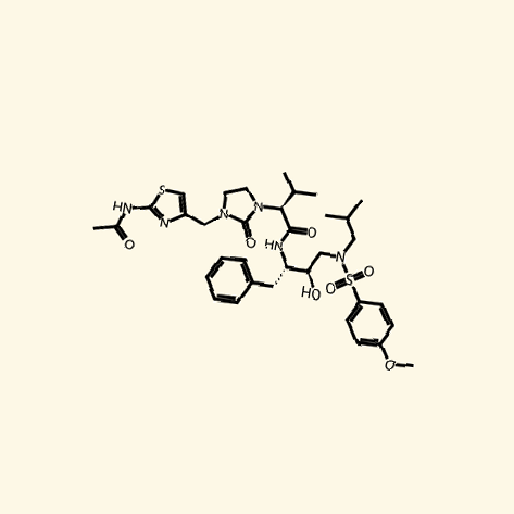 COc1ccc(S(=O)(=O)N(CC(C)C)C[C@@H](O)[C@H](Cc2ccccc2)NC(=O)[C@H](C(C)C)N2CCN(Cc3csc(NC(C)=O)n3)C2=O)cc1